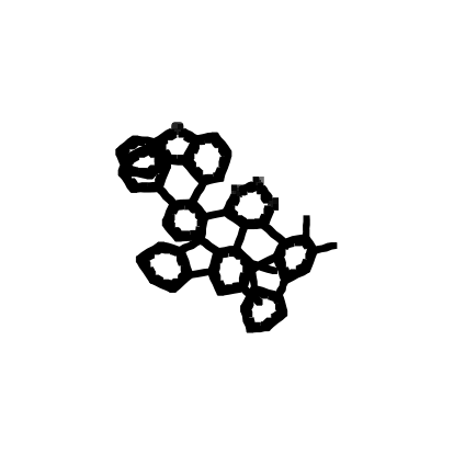 Cc1cc2c(c(-c3nnnc(-c4cccc(-c5ccccc5)c4-c4cccc5oc6ccccc6c45)c3-c3c(C)c(C)cc4c3Cc3ccccc3-4)c1C)Cc1ccccc1-2